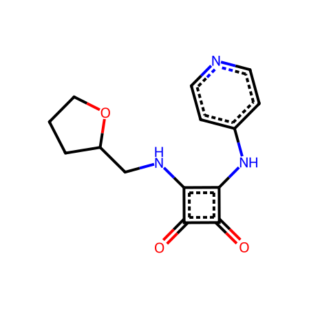 O=c1c(NCC2CCCO2)c(Nc2ccncc2)c1=O